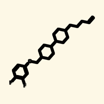 C=CCCCC1CCC(C2CCC(COc3ccc(F)c(F)c3)CC2)CC1